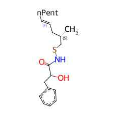 CCCCC/C=C/C[C@H](C)CSNC(=O)C(O)Cc1ccccc1